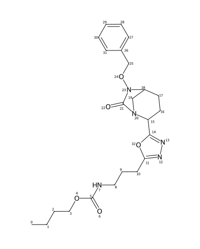 CCCCOC(=O)NCCCc1nnc(C2CCC3CN2C(=O)N3OCc2ccccc2)o1